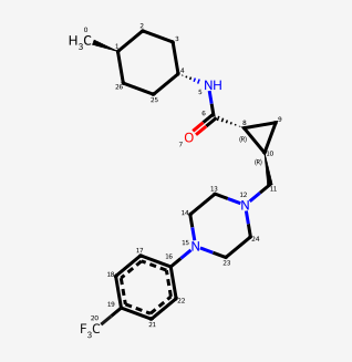 C[C@H]1CC[C@H](NC(=O)[C@@H]2C[C@H]2CN2CCN(c3ccc(C(F)(F)F)cc3)CC2)CC1